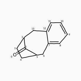 O=C1C2CCC1Cc1ccccc1C2